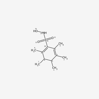 CC1=C(C)C(C)C(C)C(C)=C1S(=O)(=O)NO